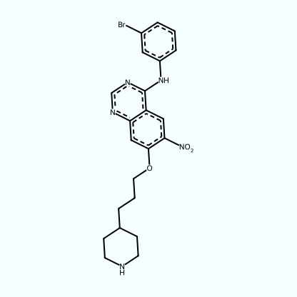 O=[N+]([O-])c1cc2c(Nc3cccc(Br)c3)ncnc2cc1OCCCC1CCNCC1